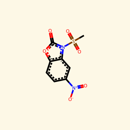 CS(=O)(=O)n1c(=O)oc2ccc([N+](=O)[O-])cc21